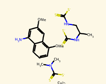 CC(CNC(=S)[S-])NC(=S)[S-].CN(C)C(=S)[S-].COc1cc([NH3+])c2cccc(OC)c2c1.[Cu+2]